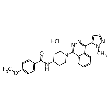 Cl.Cn1nccc1-c1nnc(N2CCC(NC(=O)c3ccc(OC(F)(F)F)cc3)CC2)c2ccccc12